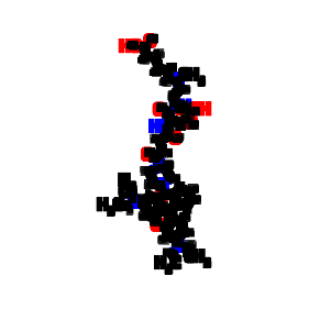 CCN(CC)c1ccc2c(-c3ccccc3C(=O)N3CCN(C(=O)CCC(=O)NC(CS(=O)(=O)O)C(=O)NCCN(C)CCCCCC(=O)O)CC3)c3ccc(N(CC)CC)cc3[o+]c2c1